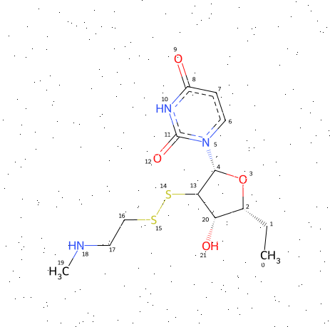 CC[C@H]1O[C@@H](n2ccc(=O)[nH]c2=O)C(SSCCNC)[C@H]1O